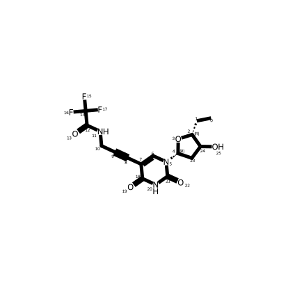 CC[C@H]1O[C@@H](n2cc(C#CCNC(=O)C(F)(F)F)c(=O)[nH]c2=O)CC1O